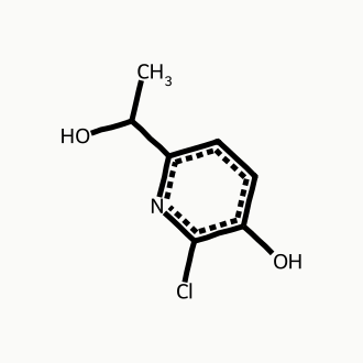 CC(O)c1ccc(O)c(Cl)n1